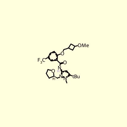 COC1CC(COc2ccc(C(F)(F)F)cc2C(=O)/N=c2\cc(C(C)(C)C)n(C)n2C[C@H]2CCCO2)C1